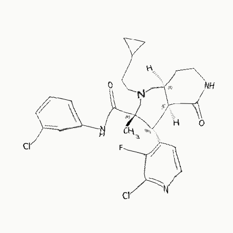 C[C@]1(C(=O)Nc2cccc(Cl)c2)[C@@H](c2ccnc(Cl)c2F)[C@@H]2C(=O)NCC[C@@H]2N1CC1CC1